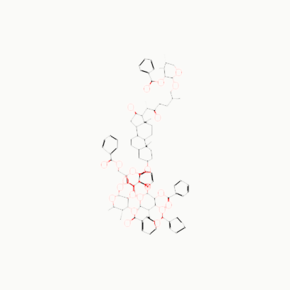 CC1O[C@@H](OC2[C@H](OC3CCC4(C)C(CCC5C4CCC4(C)C5CC(=O)C4[C@H](C)C(=O)CC[C@H](C)CO[C@@H]4OC[C@@H](C)[C@H](C)C4OC(=O)c4ccccc4)C3)OC(COC(=O)c3ccccc3)[C@@H](O[C@@H]3OC(C)[C@H](C)[C@H](OC(=O)c4ccccc4)C3OC(=O)c3ccccc3)[C@@H]2C)C(OC(=O)c2ccccc2)[C@@H](OC(=O)c2ccccc2)[C@H]1C